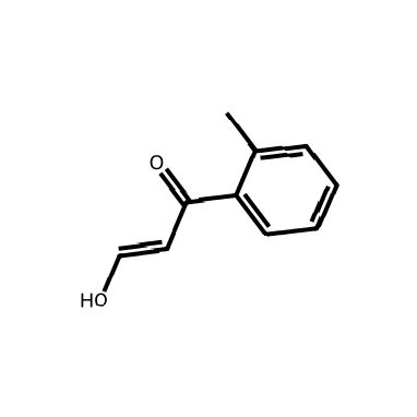 Cc1ccccc1C(=O)C=CO